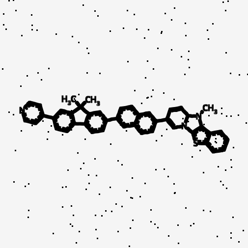 CN1c2c(sc3ccccc23)N2C=C(c3ccc4cc(-c5ccc6c(c5)C(C)(C)c5cc(-c7ccncc7)ccc5-6)ccc4c3)C=CC12